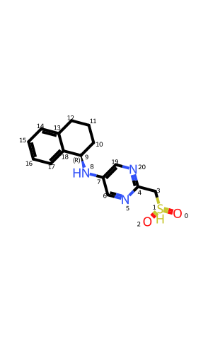 O=[SH](=O)Cc1ncc(N[C@@H]2CCCc3ccccc32)cn1